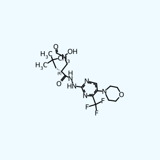 CC(C)(C)C[C@H](CN(O)C=O)C(=O)NNc1ncc(N2CCOCC2)c(C(F)(F)F)n1